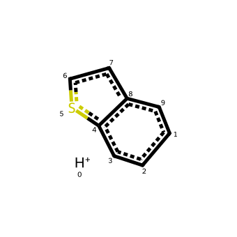 [H+].c1ccc2sccc2c1